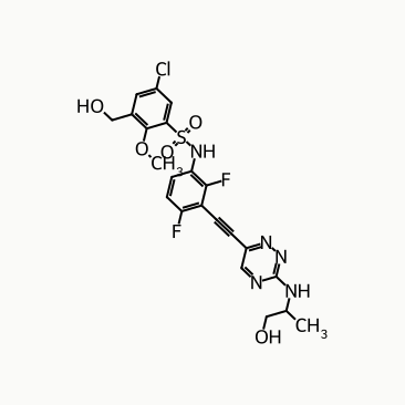 COc1c(CO)cc(Cl)cc1S(=O)(=O)Nc1ccc(F)c(C#Cc2cnc(NC(C)CO)nn2)c1F